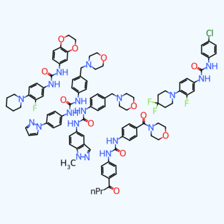 CCCC(=O)c1ccc(NC(=O)Nc2ccc(C(=O)N3CCOCC3)cc2)cc1.Cn1ncc2cc(NC(=O)Nc3ccc(CN4CCOCC4)cc3)ccc21.O=C(Nc1ccc(CN2CCOCC2)cc1)Nc1ccc(-n2cccn2)cc1.O=C(Nc1ccc(Cl)cc1)Nc1ccc(N2CCC(F)(F)CC2)c(F)c1.O=C(Nc1ccc(N2CCCCC2)c(F)c1)Nc1ccc2c(c1)OCCO2